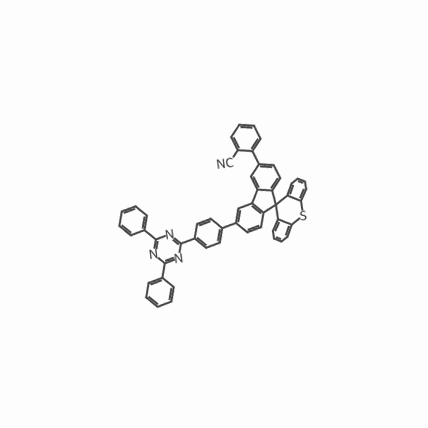 N#Cc1ccccc1-c1ccc2c(c1)-c1cc(-c3ccc(-c4nc(-c5ccccc5)nc(-c5ccccc5)n4)cc3)ccc1C21c2ccccc2Sc2ccccc21